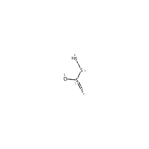 S=S(Cl)SS